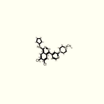 CN1CCN(c2cc(-c3nnc(NC4CCCC4)c4cc(Cl)c(Cl)cc34)ccn2)CC1